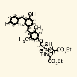 CCOC(=O)CNN(NCC(=O)OCC)P(=O)(O)COc1cc(C)c(Cc2ccc(O)c(Cc3ccc(F)cc3)c2)c(C)c1